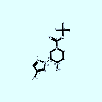 CC(C)(C)OC(=O)N1CC[C@@H](O)[C@H](n2cc(Br)cn2)C1